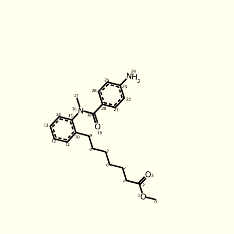 COC(=O)CCCCCCc1ccccc1N(C)C(=O)c1ccc(N)cc1